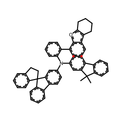 CC1(C)c2ccccc2-c2ccc(N(c3ccc4c(c3)C3(CCc5ccccc53)c3ccccc3-4)c3ccccc3-c3cccc4c5c(oc34)CCCC5)cc21